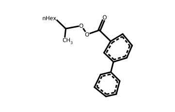 CCCCCC[C](C)OOC(=O)c1cccc(-c2ccccc2)c1